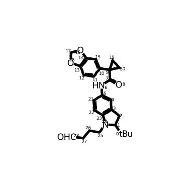 CC(C)(C)C1Cc2cc(NC(=O)C3(c4ccc5c(c4)OCO5)CC3)ccc2N1CCCC=O